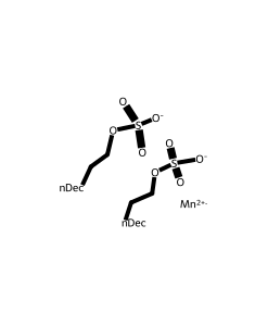 CCCCCCCCCCCCOS(=O)(=O)[O-].CCCCCCCCCCCCOS(=O)(=O)[O-].[Mn+2]